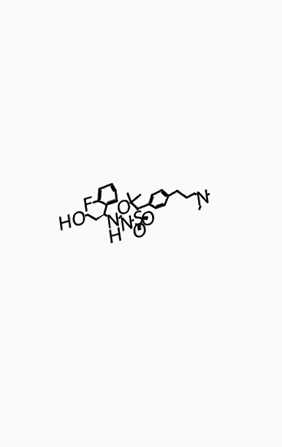 CN(C)CCCc1ccc(C2C(C)(C)OC(N[C@@H](CCO)c3ccccc3F)=NS2(=O)=O)cc1